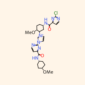 CO[C@H]1CC[C@H](NC(=O)c2ccnc(Cl)n2)CC1[n+]1ccn(-c2nccc(C(=O)N[C@H]3CC[C@H](OC)CC3)n2)c1